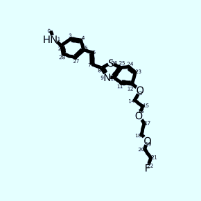 CNc1ccc(/C=C/c2nc3cc(OCCOCCOCCF)ccc3s2)cc1